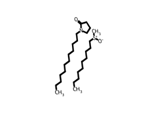 CCCCCCCCCCCCN1CCCC1=O.CCCCCCCCCC[S+](C)[O-]